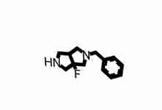 FC12CNCC1CN(Cc1ccccc1)C2